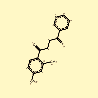 COc1ccc(C(=O)CCC(=O)c2cccnc2)c(OC)c1